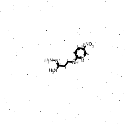 NN=C(N)CCNc1ccc([N+](=O)[O-])cn1